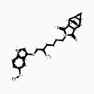 COc1ccc2[nH]cc(OCC(N)CCCCN3C(=O)C4C5C=CC(C6CC56)C4C3=O)c2c1